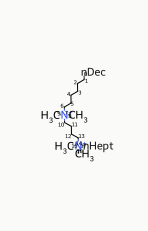 CCCCCCCCCCCCCCCC[N+](C)(C)CCCC[N+](C)(C)CCCCCCC